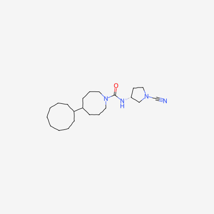 N#CN1CC[C@@H](NC(=O)N2CCCC(C3CCCCCCCC3)CCC2)C1